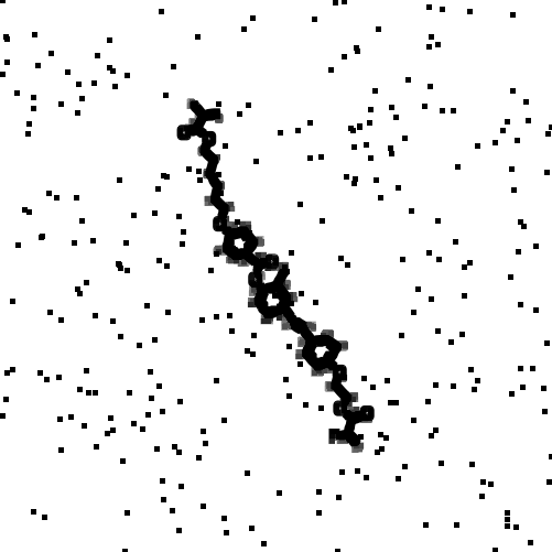 C=C(C)C(=O)OCCCCCCOc1ccc(C(=O)Oc2ccc(C#Cc3ccc(OCCOC(=O)C(=C)F)cc3)cc2C)cc1